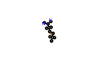 c1ccc(-c2c3ccccc3c(-c3cccc4c3sc3ccc(-c5c6ccccc6c(-c6cc(-c7cccnc7)cc(-c7cccnc7)c6)c6ccccc56)cc34)c3ccccc23)cc1